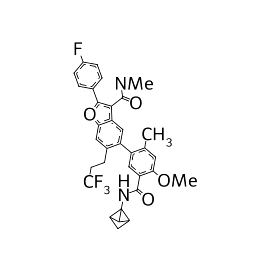 CNC(=O)c1c(-c2ccc(F)cc2)oc2cc(CCC(F)(F)F)c(-c3cc(C(=O)NC4C5CC4C5)c(OC)cc3C)cc12